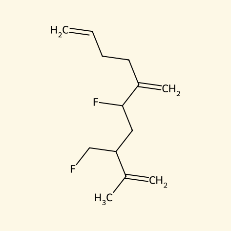 C=CCCC(=C)C(F)CC(CF)C(=C)C